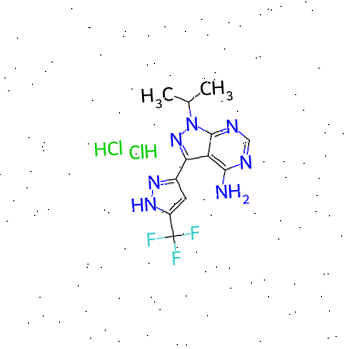 CC(C)n1nc(-c2cc(C(F)(F)F)[nH]n2)c2c(N)ncnc21.Cl.Cl